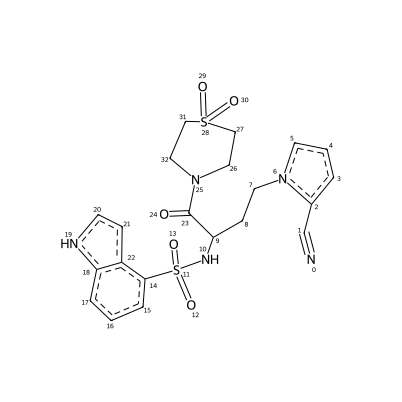 N#Cc1cccn1CCC(NS(=O)(=O)c1cccc2[nH]ccc12)C(=O)N1CCS(=O)(=O)CC1